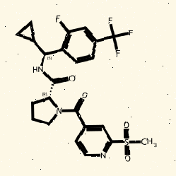 CS(=O)(=O)c1cc(C(=O)N2CCC[C@@H]2C(=O)N[C@H](c2ccc(C(F)(F)F)cc2F)C2CC2)ccn1